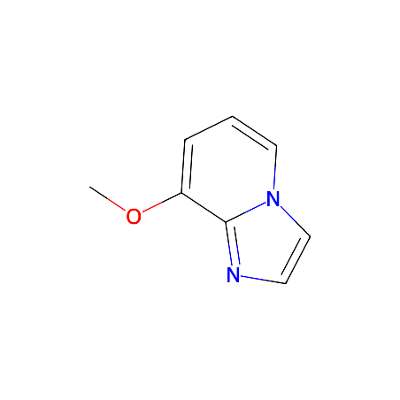 COc1cccn2ccnc12